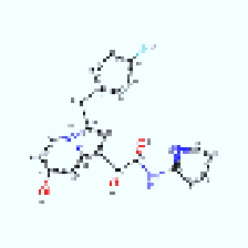 O=C(Nc1ccccn1)C(=O)c1cc(Cc2ccc(F)cc2)n2ccc(O)cc12